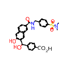 CN(C)S(=O)(=O)c1ccc(CNC(=O)c2ccc3cc(O)c(C(O)c4ccc(C(=O)O)cc4)cc3c2)cc1